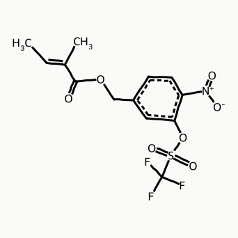 C/C=C(\C)C(=O)OCc1ccc([N+](=O)[O-])c(OS(=O)(=O)C(F)(F)F)c1